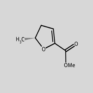 COC(=O)C1=CC[C@@H](C)O1